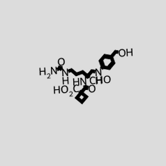 NC(=O)NCCC[C@](C=O)(CNc1ccc(CO)cc1)NC(=O)C1(C(=O)O)CCC1